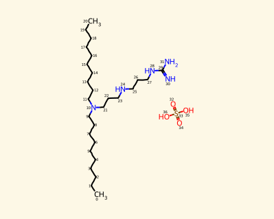 CCCCCCCCCCN(CCCCCCCCCC)CCCNCCCNC(=N)N.O=S(=O)(O)O